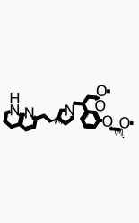 COC(=O)CC(CN1CC[C@@H](CCc2ccc3c(n2)NCCC3)C1)c1cccc(OC[C@@H](C)OC)c1